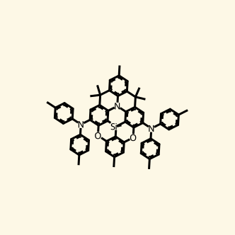 Cc1ccc(N(c2ccc(C)cc2)c2cc3c4c5c2Oc2cc(C)cc6c2[Si]5(C)c2c(c(N(c5ccc(C)cc5)c5ccc(C)cc5)cc5c2N4c2c(cc(C)cc2C5(C)C)C3(C)C)O6)cc1